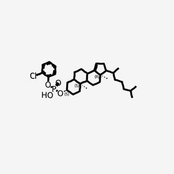 CC(C)CCCC(C)C1CC=C2C3CCC4C[C@@H](OP(=O)(O)Oc5ccccc5Cl)CC[C@]4(C)C3CC[C@@]21C